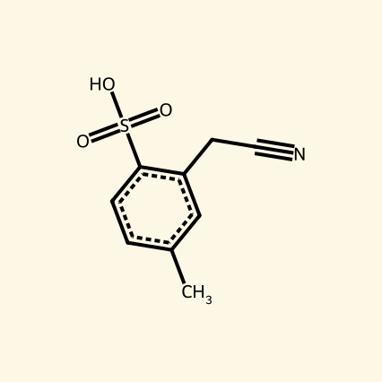 Cc1ccc(S(=O)(=O)O)c(CC#N)c1